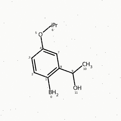 Bc1ccc(OC(C)C)cc1C(C)O